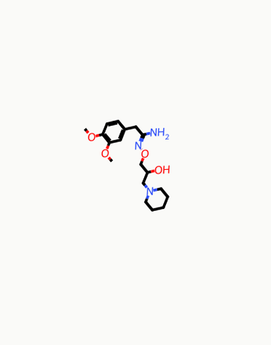 COc1ccc(CC(N)=NOCC(O)CN2CCCCC2)cc1OC